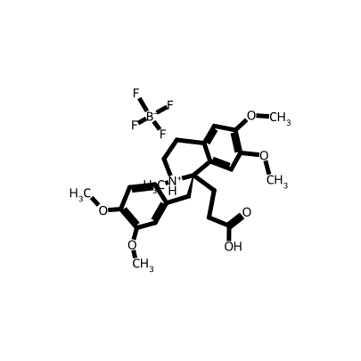 COc1ccc(C[C@]2(CCC(=O)O)c3cc(OC)c(OC)cc3CC[NH+]2C)cc1OC.F[B-](F)(F)F